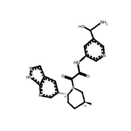 C[C@H]1CC[C@H](c2cnc3[nH]ncc3c2)N(C(=O)C(=O)Nc2cncc(C(N)O)c2)C1